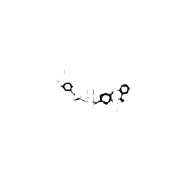 O=C(NCc1cnc(-c2ccc3[nH]cnc3c2)s1)c1ccc2c(c1)NC(=O)c1ccccc1O2